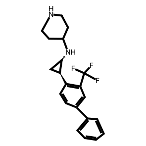 FC(F)(F)c1cc(-c2ccccc2)ccc1[C@H]1C[C@@H]1NC1CCNCC1